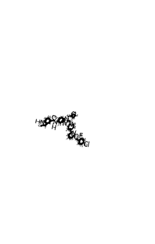 Cc1cc2cc(C(=O)Nc3ccc4c(c3)nc(CN3CC=C(c5cccc(OCc6ccc(Cl)cc6F)n5)CC3)n4C[C@@H]3CCO3)ccc2[nH]1